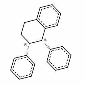 c1ccc([C@H]2c3ccccc3CC[C@H]2c2ccccc2)cc1